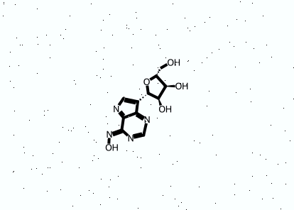 OC[C@H]1O[C@@H](C2=CN=C3C(=NO)N=CN=C23)[C@H](O)[C@@H]1O